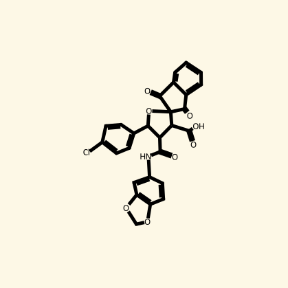 O=C(Nc1ccc2c(c1)OCO2)C1C(c2ccc(Cl)cc2)OC2(C(=O)c3ccccc3C2=O)C1C(=O)O